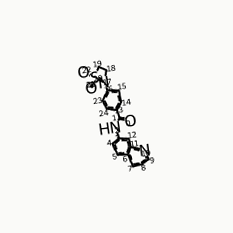 O=C(Nc1ccc2cccnc2c1)c1ccc(N2CCS2(=O)=O)cc1